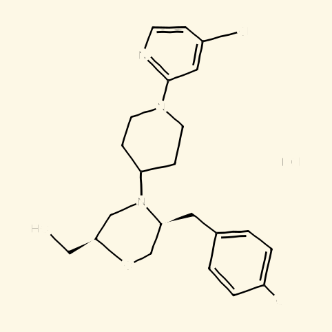 Cl.OC[C@H]1CN(C2CCN(c3cc(Cl)ccn3)CC2)[C@@H](Cc2ccc(Cl)cc2)CO1